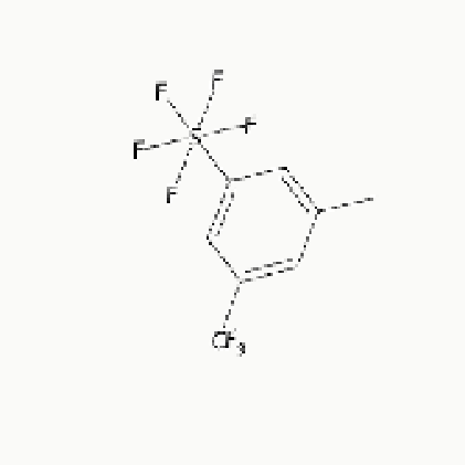 Cc1cc(C(F)(F)F)cc(S(F)(F)(F)(F)F)c1